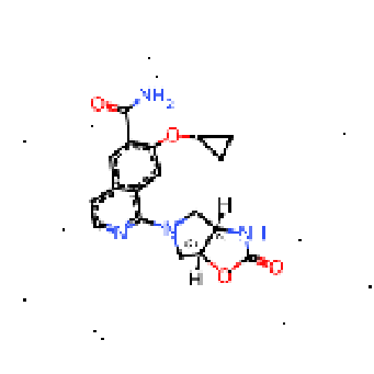 NC(=O)c1cc2ccnc(N3C[C@@H]4NC(=O)O[C@@H]4C3)c2cc1OC1CC1